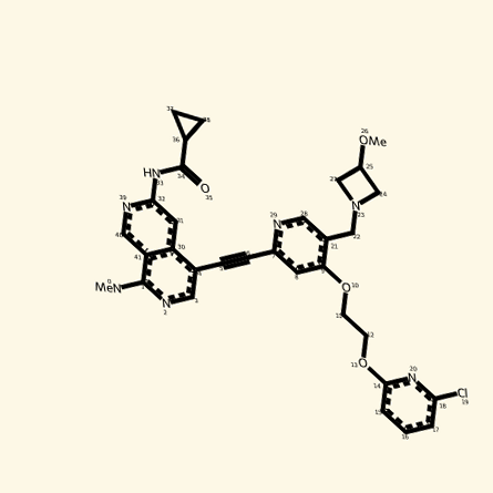 CNc1ncc(C#Cc2cc(OCCOc3cccc(Cl)n3)c(CN3CC(OC)C3)cn2)c2cc(NC(=O)C3CC3)ncc12